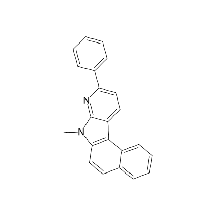 Cn1c2ccc3ccccc3c2c2ccc(-c3ccccc3)nc21